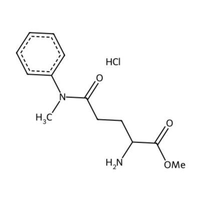 COC(=O)C(N)CCC(=O)N(C)c1ccccc1.Cl